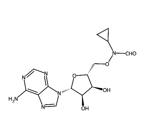 Nc1ncnc2c1ncn2[C@@H]1O[C@H](CON(C=O)C2CC2)[C@@H](O)[C@H]1O